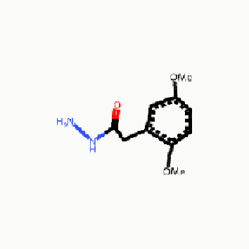 COc1ccc(OC)c(CC(=O)NN)c1